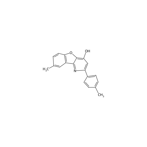 Cc1ccc(-c2cc(O)c3oc4ccc(C)cc4c3n2)cc1